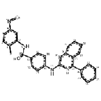 Cc1ccc(N=O)cc1NC(=O)c1ccc(Nc2nc(-c3ccccc3)c3ccccc3n2)cc1